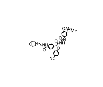 COc1cc2nc(NC(=O)C(Oc3ccc(C#N)cc3)c3ccc(C(=O)NCCN4CCOCC4)cc3)oc2cc1OC